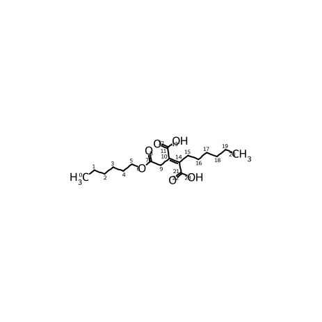 CCCCCCOC(=O)CC(C(=O)O)=C(CCCCCC)C(=O)O